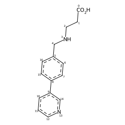 O=C(O)CCNCc1ccc(-c2c[c]cnc2)cc1